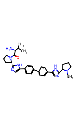 BN1CCC[C@@H]1c1ncc(-c2ccc(-c3ccc(-c4cnc([C@@H]5CCCN5C(=O)[C@@H](N)C(C)C)[nH]4)cc3)cc2)[nH]1